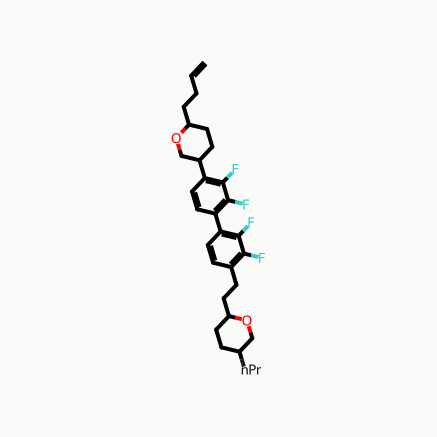 C=CCCC1CCC(c2ccc(-c3ccc(CCC4CCC(CCC)CO4)c(F)c3F)c(F)c2F)CO1